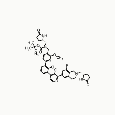 COc1nc(-c2cccc(-c3ccnc(-c4cc(F)c5c(c4)CCN(C[C@@H]4CCC(=O)N4)C5)c3Cl)c2Cl)ccc1CN(C[C@@H]1CCC(=O)N1)C(=O)OC(C)(C)C